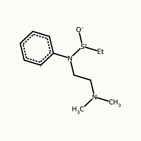 CC[S+]([O-])N(CCN(C)C)c1[c]cccc1